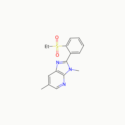 CCS(=O)(=O)c1ccccc1-c1nc2cc(C)cnc2n1C